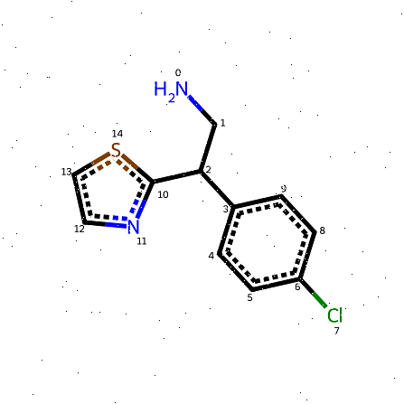 NCC(c1ccc(Cl)cc1)c1nccs1